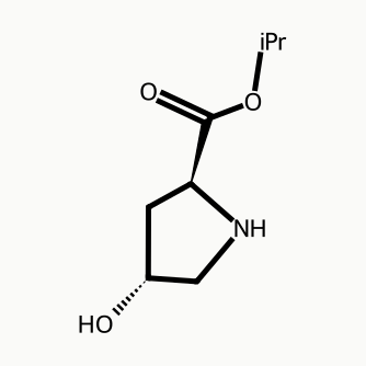 CC(C)OC(=O)[C@@H]1C[C@@H](O)CN1